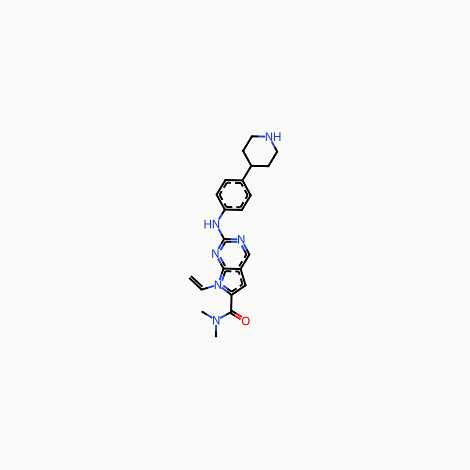 C=Cn1c(C(=O)N(C)C)cc2cnc(Nc3ccc(C4CCNCC4)cc3)nc21